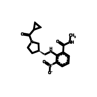 CNC(=O)c1cccc([N+](=O)[O-])c1NC[C@@H]1CCN(C(=O)C2CC2)C1